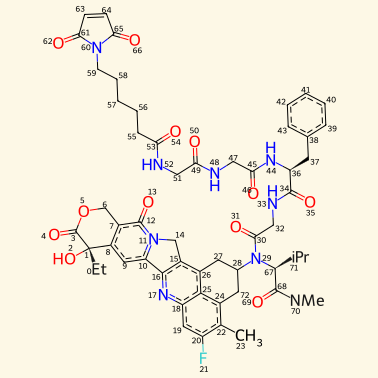 CC[C@@]1(O)C(=O)OCc2c1cc1n(c2=O)Cc2c-1nc1cc(F)c(C)c3c1c2CC(N(C(=O)CNC(=O)[C@H](Cc1ccccc1)NC(=O)CNC(=O)CNC(=O)CCCCCN1C(=O)C=CC1=O)[C@H](C(=O)NC)C(C)C)C3